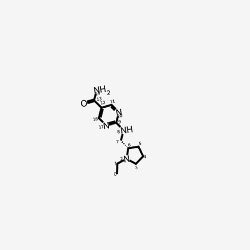 CCN1CCC[C@H]1CNc1ncc(C(N)=O)cn1